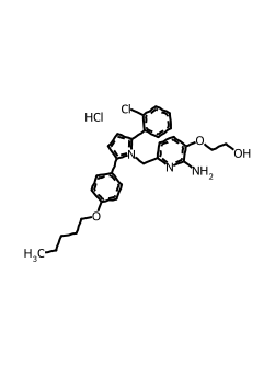 CCCCCOc1ccc(-c2ccc(-c3ccccc3Cl)n2Cc2ccc(OCCO)c(N)n2)cc1.Cl